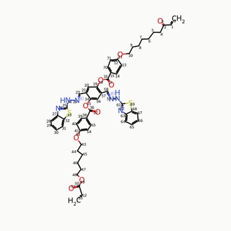 C=CC(=O)CCCCCCCOc1ccc(C(=O)Oc2cc(/C=N/Nc3nc4ccccc4s3)c(OC(=O)c3ccc(OCCCCCCOC(=O)C=C)cc3)cc2/C=N/Nc2nc3ccccc3s2)cc1